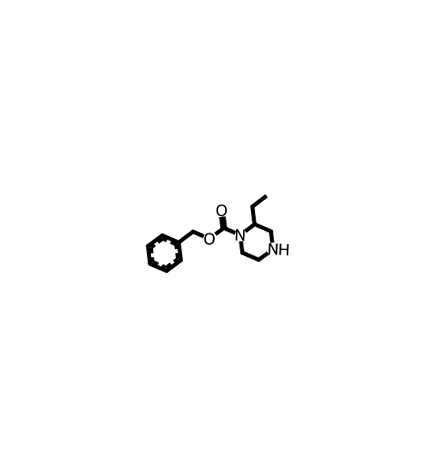 CCC1CNCCN1C(=O)OCc1ccccc1